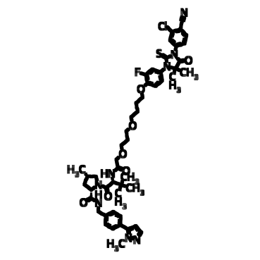 C[C@@H]1C[C@@H](C(=O)NCc2ccc(-c3ccnn3C)cc2)N(C(=O)[C@@H](NC(=O)COCCCOCCCCOc2ccc(N3C(=S)N(c4ccc(C#N)c(Cl)c4)C(=O)C3(C)C)cc2F)C(C)(C)C)C1